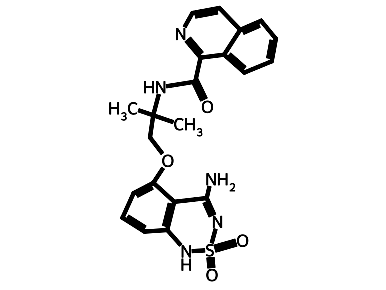 CC(C)(COc1cccc2c1C(N)=NS(=O)(=O)N2)NC(=O)c1nccc2ccccc12